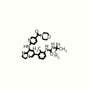 CCC(C)(C)NC(=O)Nc1cccc(C2=CN3CCN=C3C(Nc3ccc(C(=O)N4CCOCC4)cn3)=C2)c1C